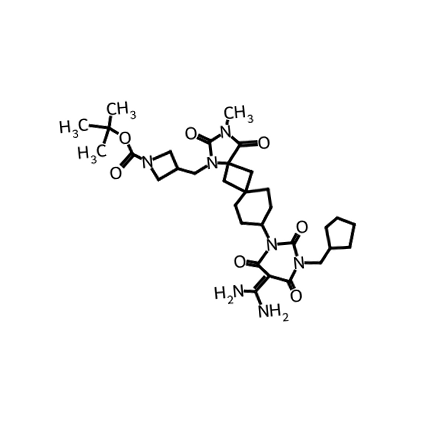 CN1C(=O)N(CC2CN(C(=O)OC(C)(C)C)C2)C2(CC3(CCC(N4C(=O)C(=C(N)N)C(=O)N(CC5CCCC5)C4=O)CC3)C2)C1=O